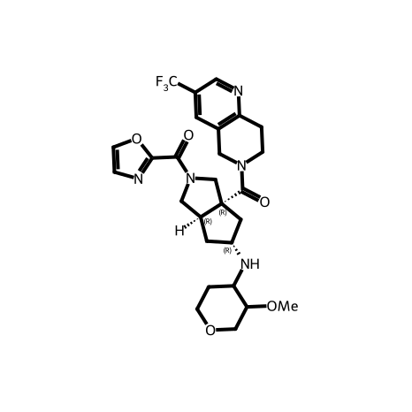 COC1COCCC1N[C@@H]1C[C@H]2CN(C(=O)c3ncco3)C[C@@]2(C(=O)N2CCc3ncc(C(F)(F)F)cc3C2)C1